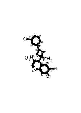 CC1(c2c([N+](=O)[O-])cnc3cc(F)c(Br)cc23)CC(c2cccc(Cl)c2)C1